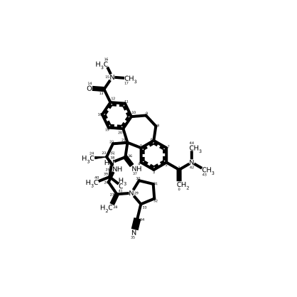 C=C(c1ccc2c(c1)CCc1cc(C(=O)N(C)C)ccc1C2(C[C@H](C)NCC(=C)N1CCCC1C#N)C(=N)NC(C)C)N(C)C